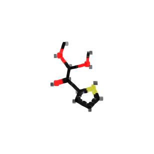 COC(OC)C(=O)c1cccs1